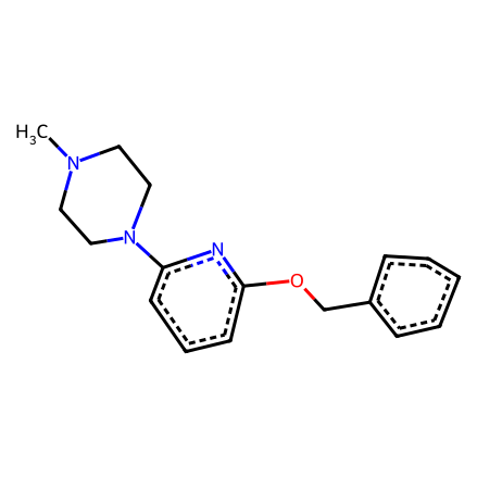 CN1CCN(c2cccc(OCc3ccccc3)n2)CC1